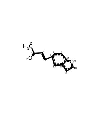 CC(=O)C=Cc1ccc2occc2c1